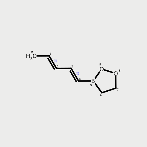 C/C=C/C=C/B1CCOO1